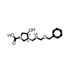 O=C(O)N1C[C@H](CNCOCc2ccccc2)[C@H](O)C1